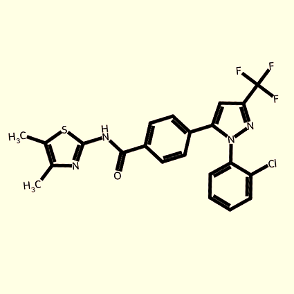 Cc1nc(NC(=O)c2ccc(-c3cc(C(F)(F)F)nn3-c3ccccc3Cl)cc2)sc1C